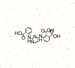 O=C(O)c1ccccc1Nc1nccc(Nc2cccc(C(=O)O)c2C(=O)O)n1